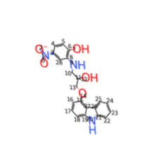 O=[N+]([O-])c1ccc(O)c(NCC(O)COc2cccc3[nH]c4ccccc4c23)c1